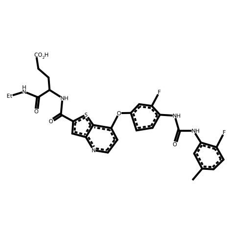 CCNC(=O)C(CCC(=O)O)NC(=O)c1cc2nccc(Oc3ccc(NC(=O)Nc4cc(C)ccc4F)c(F)c3)c2s1